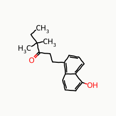 CCC(C)(C)C(=O)CCc1cccc2c(O)cccc12